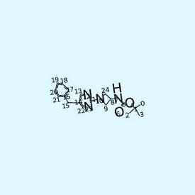 CC(C)(C)OC(=O)NC1CN(c2ncc(Cc3ccccc3)cn2)C1